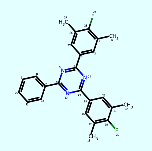 Cc1cc(-c2nc(-c3ccccc3)nc(-c3cc(C)c(F)c(C)c3)n2)cc(C)c1F